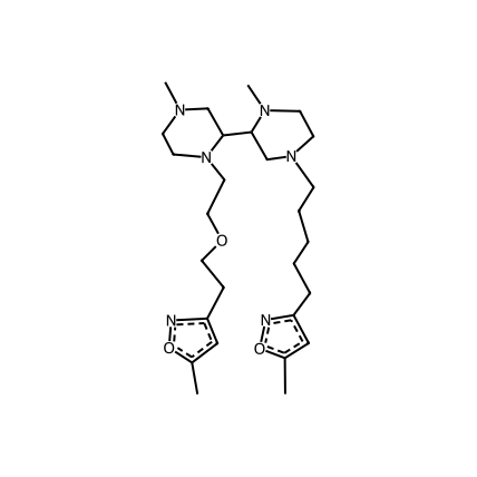 Cc1cc(CCCCCN2CCN(C)C(C3CN(C)CCN3CCOCCc3cc(C)on3)C2)no1